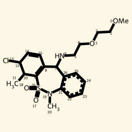 COCCOCCNC1C2=C(C(C)C(Cl)C=C2)S(=O)(=O)N(C)c2ccccc21